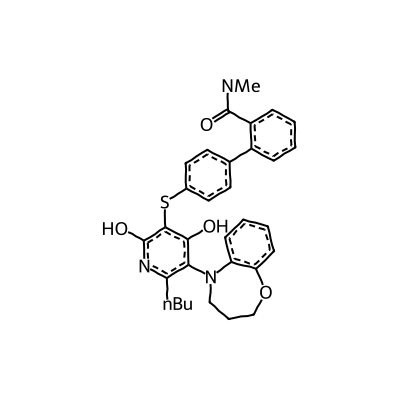 CCCCc1nc(O)c(Sc2ccc(-c3ccccc3C(=O)NC)cc2)c(O)c1N1CCCOc2ccccc21